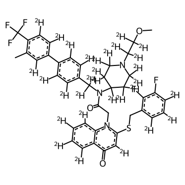 [2H]c1c([2H])c(F)c(F)c(CSc2c([2H])c(=O)c3c([2H])c([2H])c([2H])c([2H])c3n2CC(=O)N(C([2H])([2H])c2c([2H])c([2H])c(-c3c([2H])c([2H])c(C(F)(F)F)c(C)c3[2H])c([2H])c2[2H])C2([2H])C([2H])([2H])C([2H])([2H])N(C([2H])([2H])C([2H])([2H])OC)C([2H])([2H])C2([2H])[2H])c1[2H]